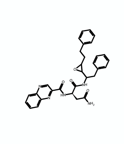 NC(=O)C[C@@H](NC(=O)c1cnc2ccccc2n1)C(=O)NC(Cc1ccccc1)C1OC1CCc1ccccc1